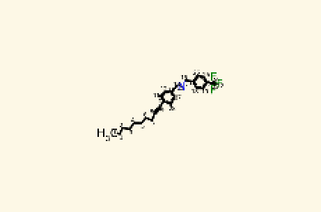 CCCCCCCCC#Cc1ccc(C[N]Cc2ccc(C(F)(F)F)cc2)cc1